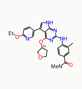 CCOc1ccc(-c2c[nH]c3nc(Nc4ccc(C(=O)NC)cc4C)nc(O[C@H]4CCOC4)c23)cn1